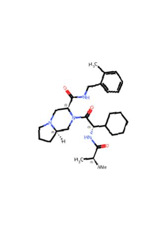 CN[C@@H](C)C(=O)N[C@H](C(=O)N1C[C@H]2CCCN2C[C@H]1C(=O)NCc1ccccc1C)C1CCCCC1